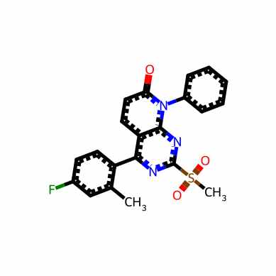 Cc1cc(F)ccc1-c1nc(S(C)(=O)=O)nc2c1ccc(=O)n2-c1ccccc1